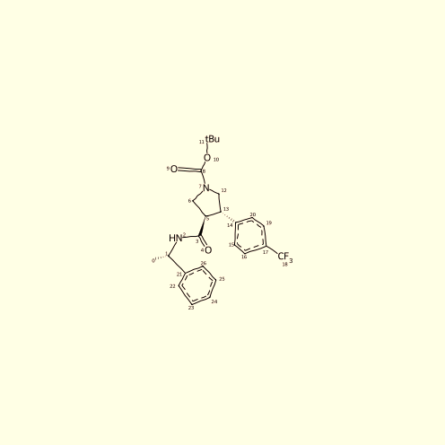 C[C@H](NC(=O)[C@H]1CN(C(=O)OC(C)(C)C)C[C@@H]1c1ccc(C(F)(F)F)cc1)c1ccccc1